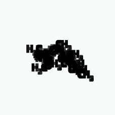 CCNC(=O)Nc1cc(C)c(C(=O)NCC[C@@H](C)N2CCC(N(Cc3cnccc3C)c3ccc(OC)cc3)CC2)c(C)c1